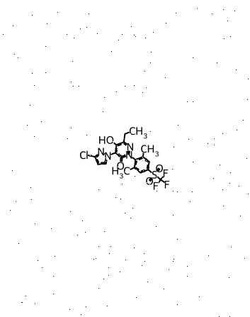 CCc1nn(-c2c(C)cc(S(=O)(=O)C(F)(F)F)cc2C)c(=O)c(-n2ccc(Cl)n2)c1O